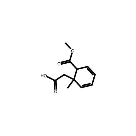 COC(=O)C1C=CC=CC1(C)CC(=O)O